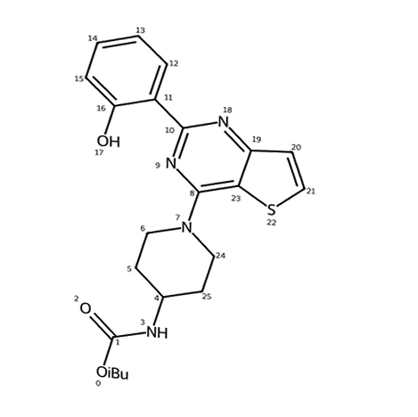 CC(C)COC(=O)NC1CCN(c2nc(-c3ccccc3O)nc3ccsc23)CC1